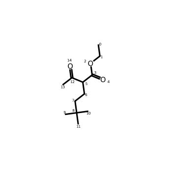 CCOC(=O)C(CCC(C)(C)C)C(C)=O